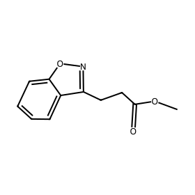 COC(=O)CCc1noc2ccccc12